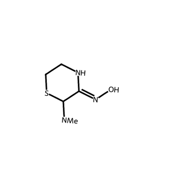 CNC1SCCNC1=NO